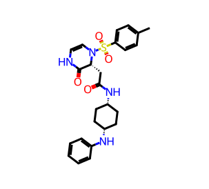 Cc1ccc(S(=O)(=O)N2C=CNC(=O)[C@H]2CC(=O)N[C@H]2CC[C@@H](Nc3ccccc3)CC2)cc1